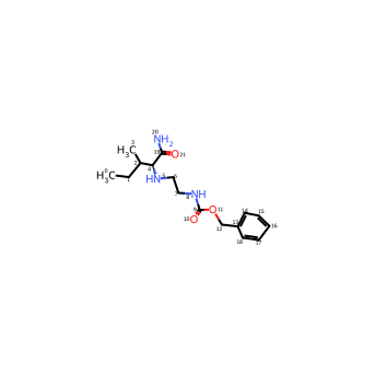 CCC(C)[C@H](NCCNC(=O)OCc1ccccc1)C(N)=O